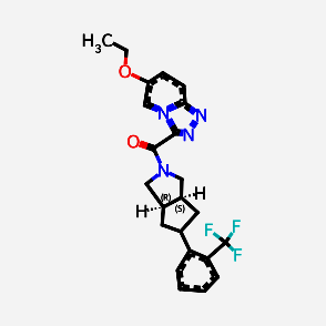 CCOc1ccc2nnc(C(=O)N3C[C@H]4CC(c5ccccc5C(F)(F)F)C[C@H]4C3)n2c1